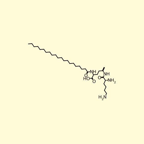 C=C(CCC(NC(=O)CCCCCCCCCCCCCCCCCCCC)C(=O)O)NC(=O)[C@@H](N)CCCCN